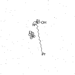 CCOS(=O)(=O)[O-].CC[N+]1(CCO)CCN=C1CCCCCCCCCCCCCCCC(C)C